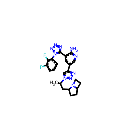 CC(CC1CCC2CCN21)n1cc(-c2cnc(N)c(-c3nnnn3-c3cccc(F)c3F)c2)nn1